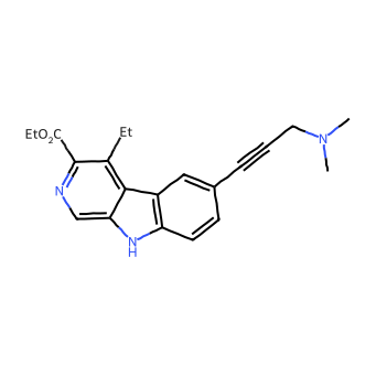 CCOC(=O)c1ncc2[nH]c3ccc(C#CCN(C)C)cc3c2c1CC